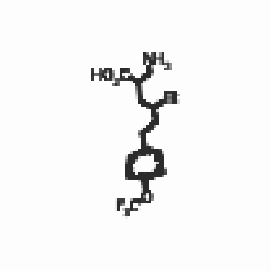 CCC(CCc1ccc(OC(F)(F)F)cc1)CC(CN)C(=O)O